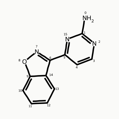 Nc1nccc(-c2noc3ccccc23)n1